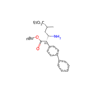 CCCCOC(=O)[C@@H](c1ccc(-c2ccccc2)cc1)C(N)CC(C)C(=O)OCC